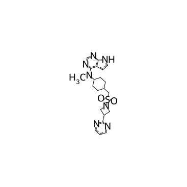 CN(c1ncnc2[nH]ccc12)C1CCC(CS(=O)(=O)N2CC(c3ncccn3)C2)CC1